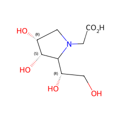 O=C(O)CN1C[C@@H](O)[C@@H](O)C1[C@@H](O)CO